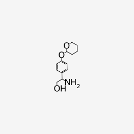 NC(CO)c1ccc(OC2CCCCO2)cc1